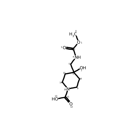 COC(=O)NCC1(O)CCN(C(=O)O)CC1